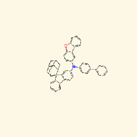 c1ccc(-c2ccc(N(c3ccc4c(c3)C3(c5ccccc5-4)C4CC5CC(C4)CC3C5)c3ccc4oc5ccccc5c4c3)cc2)cc1